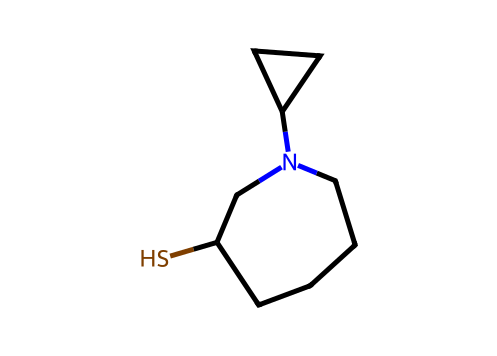 SC1CCCCN(C2CC2)C1